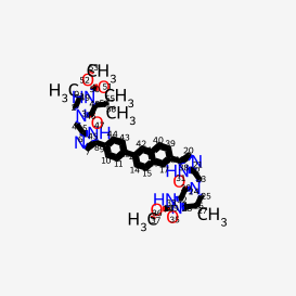 CCCN(Cc1ncc(-c2ccc(-c3ccc4cc(-c5cnc(CN(CC(C)C#N)C(=O)CNC(=O)OC)[nH]5)ccc4c3)cc2)[nH]1)C(=O)C(NC(=O)OC)C(C)C